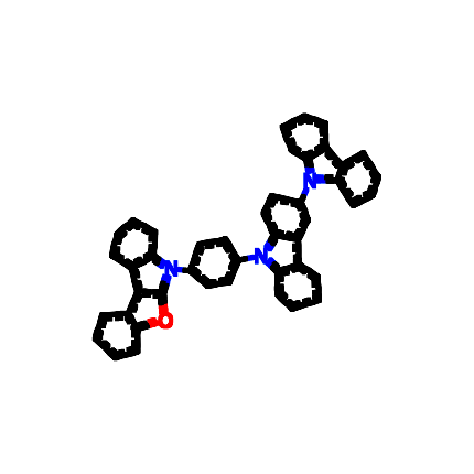 c1ccc2c(c1)oc1c2c2ccccc2n1-c1ccc(-n2c3ccccc3c3cc(-n4c5ccccc5c5ccccc54)ccc32)cc1